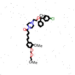 COCCOCOc1ccc(C=CC=CC(=O)N2CCN(CCOC(C)(c3ccccc3)c3ccc(Cl)cc3)CC2)cc1OC